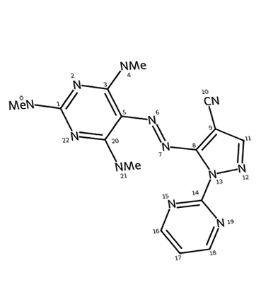 CNc1nc(NC)c(/N=N/c2c(C#N)cnn2-c2ncccn2)c(NC)n1